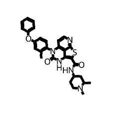 Cc1cc(Oc2ccccc2)ccc1N1C(=O)Nc2c(C(=O)NC3CCN(C)C(C)C3)sc3nccc1c23